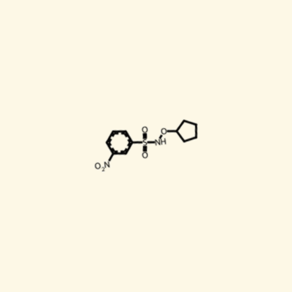 O=[N+]([O-])c1cccc(S(=O)(=O)NOC2CCCC2)c1